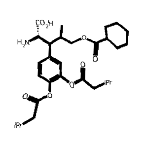 CC(C)CC(=O)Oc1ccc(C(C(C)COC(=O)C2CCCCC2)[C@H](N)C(=O)O)cc1OC(=O)CC(C)C